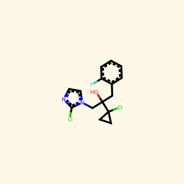 OC(Cc1ccccc1F)(Cn1ccnc1Cl)C1(Cl)CC1